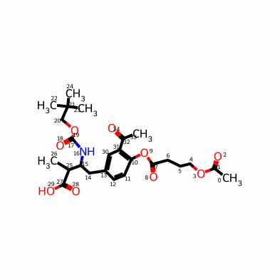 CC(=O)OCCCC(=O)Oc1ccc(CC(NC(=O)OCC(C)(C)C)C(C)C(=O)O)cc1C(C)=O